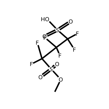 COS(=O)(=O)C(F)(F)C(F)(F)C(F)(F)S(=O)(=O)O